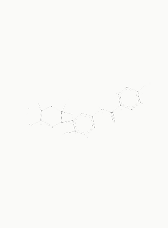 C[C@]1(F)CC(F)(F)[C@]2(Cc3ccc(NC(=O)c4ccc(F)cn4)cc32)N=C1N